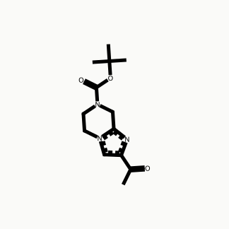 CC(=O)c1cn2c(n1)CN(C(=O)OC(C)(C)C)CC2